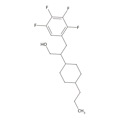 CCCC1CCC(C(CO)Cc2cc(F)c(F)c(F)c2F)CC1